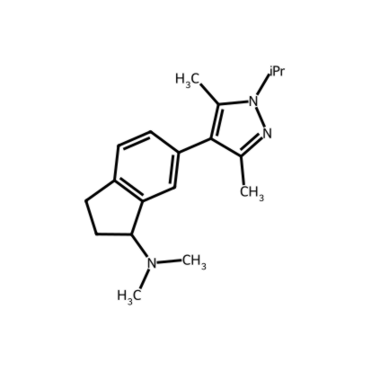 Cc1nn(C(C)C)c(C)c1-c1ccc2c(c1)C(N(C)C)CC2